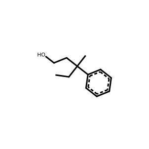 CCC(C)(CCO)c1ccccc1